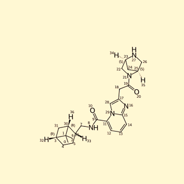 CC1(C)[C@@H]2CC[C@@H](CNC(=O)c3cccc4nc(CC(=O)N5C[C@@H]6C[C@H]5CN6)cn34)[C@H]1C2